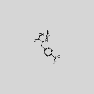 [N-]=[N+]=NC(Cc1ccc([N+](=O)[O-])cc1)C(=O)O